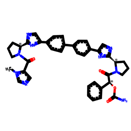 Cn1cncc1C(=O)N1CCC[C@H]1c1ncc(-c2ccc(-c3ccc(-c4cnc([C@@H]5CCCN5C(=O)[C@H](OC(N)=O)c5ccccc5)[nH]4)cc3)cc2)[nH]1